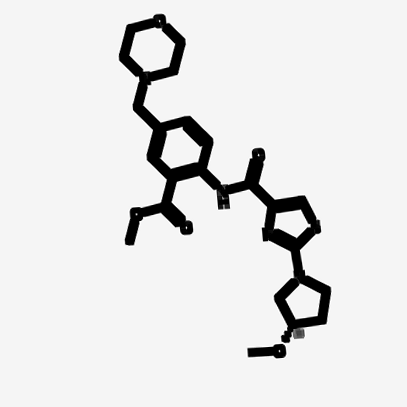 COC(=O)c1cc(CN2CCOCC2)ccc1NC(=O)c1csc(N2CC[C@H](OC)C2)n1